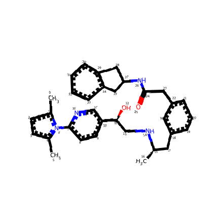 Cc1ccc(C)n1-c1ccc([C@@H](O)CN[C@H](C)Cc2cccc(CC(=O)NC3Cc4ccccc4C3)c2)cn1